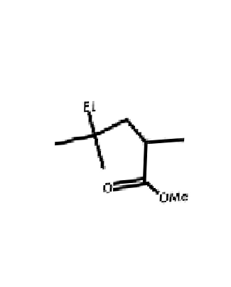 CCC(C)(C)CC(C)C(=O)OC